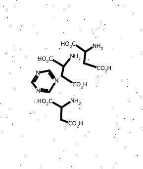 NC(CC(=O)O)C(=O)O.NC(CC(=O)O)C(=O)O.NC(CC(=O)O)C(=O)O.c1ncncn1